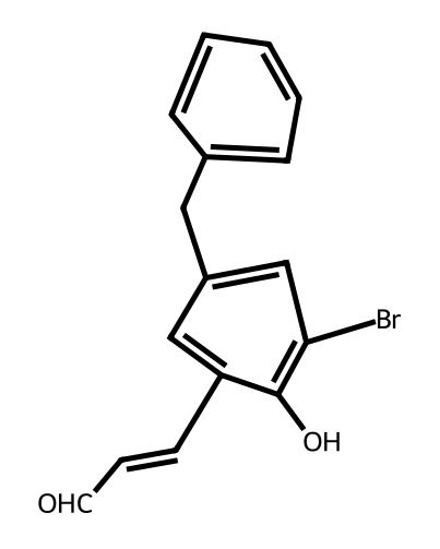 O=CC=Cc1cc(Cc2ccccc2)cc(Br)c1O